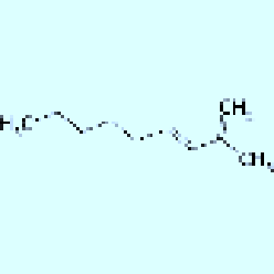 C=C(C)/C=C/CCCCC